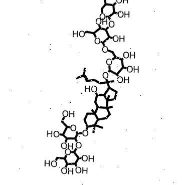 CC(C)=CCCC(C)(OC1OC(COC2OC(CO)C(O)C(OC3OCC(O)C(O)C3O)C2O)C(O)C(O)C1O)C1CCC2(C)C1C(O)CC1C3(C)CCC(OC4OC(CO)C(O)C(O)C4OC4OC(CO)C(O)C(O)C4O)C(C)(C)C3CCC12C